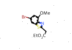 CCOC(=O)Cc1nc2c(OC)cc(Br)cc2s1